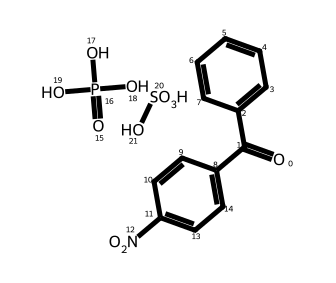 O=C(c1ccccc1)c1ccc([N+](=O)[O-])cc1.O=P(O)(O)O.O=S(=O)(O)O